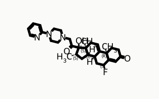 C[C@H]1C[C@H]2[C@@H]3C[C@H](F)C4=CC(=O)CC[C@]4(C)C3=CC[C@]2(C)[C@@]1(O)C(=O)CN1CCN(c2ccccn2)CC1